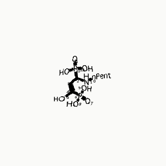 CCCCCNC(C=C(O)P(=O)(O)O)P(=O)(O)O